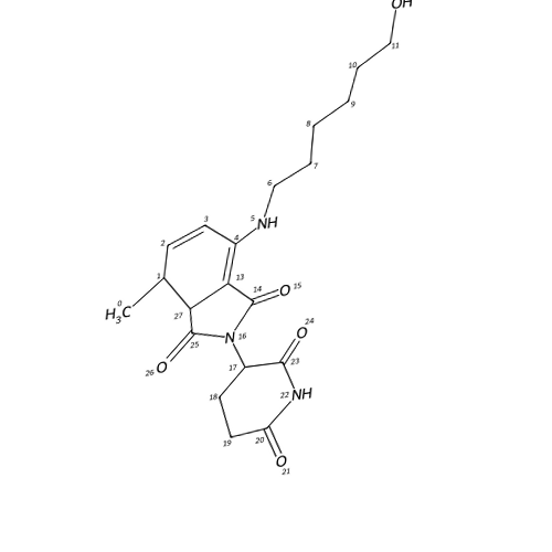 CC1C=CC(NCCCCCCO)=C2C(=O)N(C3CCC(=O)NC3=O)C(=O)C21